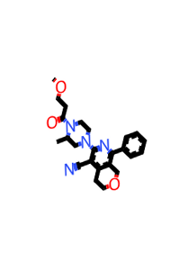 COCCC(=O)N1CCN(c2nc(-c3ccccc3)c3c(c2C#N)CCOC3)CC1C